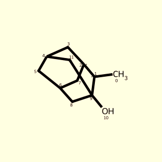 C[C]1[C]2CC3CC(C2)CC1(O)C3